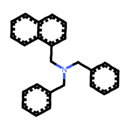 c1ccc(CN(Cc2ccccc2)Cc2cccc3ccccc23)cc1